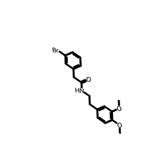 COc1ccc(CCNC(=O)Cc2cccc(Br)c2)cc1OC